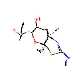 CNC1=N[C@@H]2C[C@H](O)[C@@H](C(C)(C)O)O[C@@H]2S1